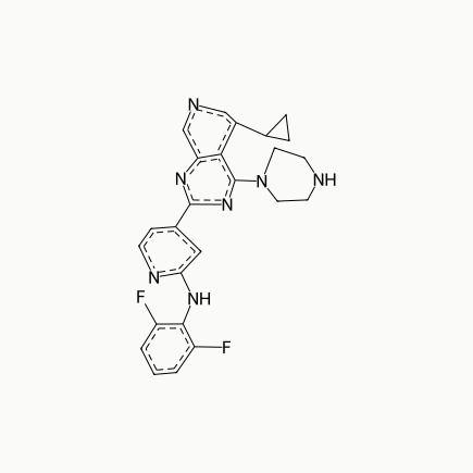 Fc1cccc(F)c1Nc1cc(-c2nc(N3CCNCC3)c3c(C4CC4)cncc3n2)ccn1